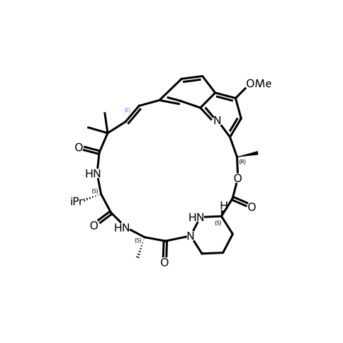 COc1cc2nc3cc(ccc13)/C=C/C(C)(C)C(=O)N[C@@H](C(C)C)C(=O)N[C@@H](C)C(=O)N1CCC[C@H](N1)C(=O)O[C@@H]2C